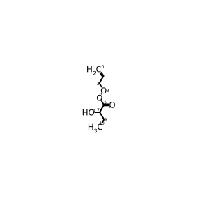 C=CCOOC(=O)C(O)CC